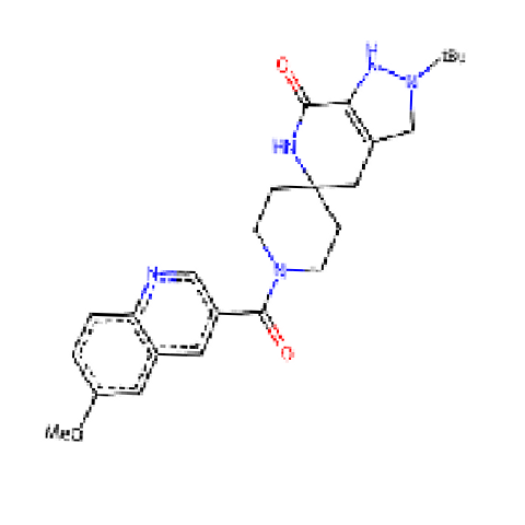 COc1ccc2ncc(C(=O)N3CCC4(CC3)CC3=C(NN(C(C)(C)C)C3)C(=O)N4)cc2c1